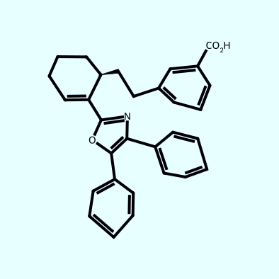 O=C(O)c1cccc(CC[C@@H]2CCCC=C2c2nc(-c3ccccc3)c(-c3ccccc3)o2)c1